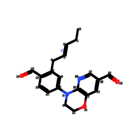 CC/C=C/Cc1cc(N2CCOc3cc(C=O)cnc32)ccc1C=O